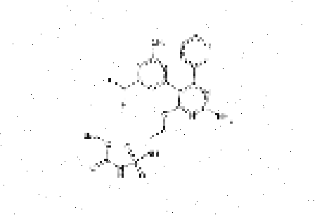 Cc1cc(-c2c(OCCNS(=O)(=O)NC(=O)OC(C)(C)C)nc(N)nc2-c2ccccc2)cc(C(F)F)n1